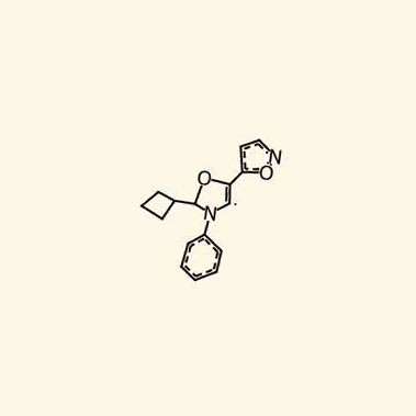 [C]1=C(c2ccno2)OC(C2CCC2)N1c1ccccc1